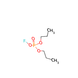 CCCOP(=O)(OF)OCCC